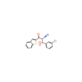 N#CC(C(=O)c1cc2ccccc2s1)C(O)c1cccc(Cl)c1